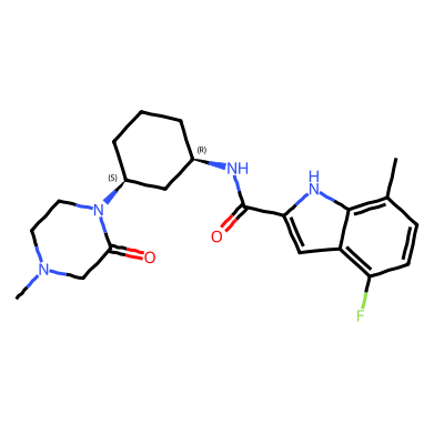 Cc1ccc(F)c2cc(C(=O)N[C@@H]3CCC[C@H](N4CCN(C)CC4=O)C3)[nH]c12